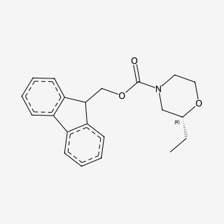 CC[C@@H]1CN(C(=O)OCC2c3ccccc3-c3ccccc32)CCO1